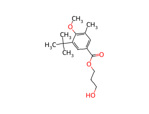 COc1c(C)cc(C(=O)OCCCO)cc1C(C)(C)C